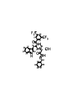 Cl.O=C(CN1CCN(C(=O)c2cc(C(F)(F)F)cc(C(F)(F)F)c2)[C@H](Cc2c[nH]c3ccccc23)C1)NOCc1ccccc1